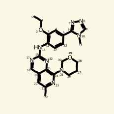 CCOc1cc(-c2nncn2C)ccc1Nc1ncc2cc(C)nc(N3CCCOC3)c2n1